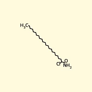 CCCCCCCCCCCCCCCCCCCCCCC(Cl)C(N)=O